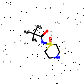 CC(C)(C)C(=O)N=S1(=O)CCNCC1